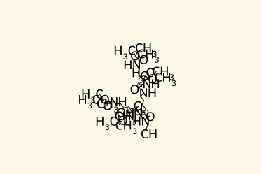 C#CCNC(=O)[C@H](CCCCNC(=O)[C@H](CCCCNC(=O)OC(C)(C)C)NC(=O)OC(C)(C)C)NC(=O)[C@H](CCCCNC(=O)OC(C)(C)C)NC(=O)OC(C)(C)C